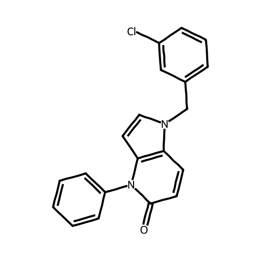 O=c1ccc2c(ccn2Cc2cccc(Cl)c2)n1-c1ccccc1